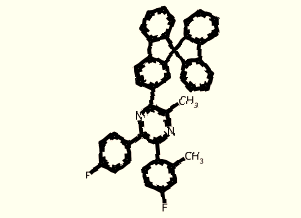 Cc1cc(F)ccc1-c1nc(C)c(-c2ccc3c(c2)C2(c4ccccc4-c4ccccc42)c2ccccc2-3)nc1-c1ccc(F)cc1